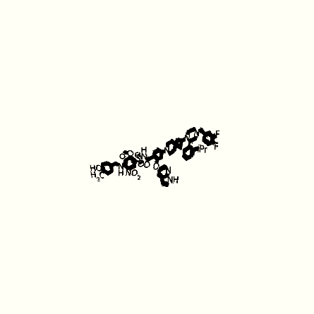 CC(C)c1ccccc1[C@@H]1CN(Cc2ccc(F)c(F)c2)CCN1C1CC2(CCN(c3ccc(C(=O)NS(=O)(=O)c4cc([N+](=O)[O-])c(NCC5CCC(C)(O)CC5)c5c4OCO5)c(Oc4cnc5[nH]ccc5c4)c3)CC2)C1